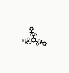 CCC(C)(C)C(=O)OC1CC(C(=O)OC(C)(C)C2CCCC2)CC(C(=O)OC(C)(C)C2CCCC2)C1